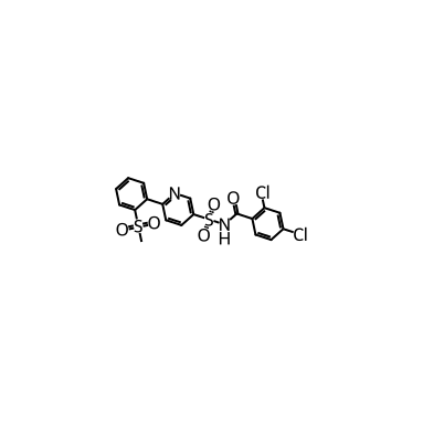 CS(=O)(=O)c1ccccc1-c1ccc(S(=O)(=O)NC(=O)c2ccc(Cl)cc2Cl)cn1